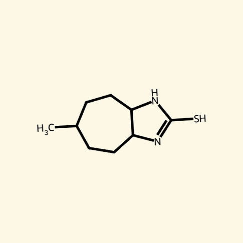 CC1CCC2N=C(S)NC2CC1